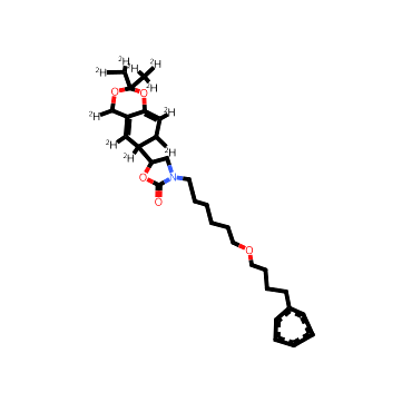 [2H]C1=C2OC(C([2H])[2H])(C([2H])([2H])[2H])OC([2H])C2=C([2H])C([2H])(C2CN(CCCCCCOCCCCc3ccccc3)C(=O)O2)C1[2H]